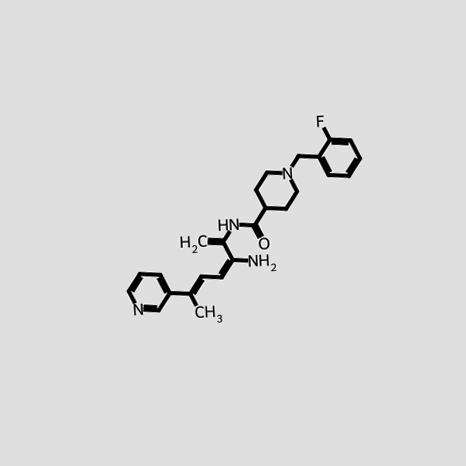 C=C(NC(=O)C1CCN(Cc2ccccc2F)CC1)/C(N)=C\C=C(/C)c1cccnc1